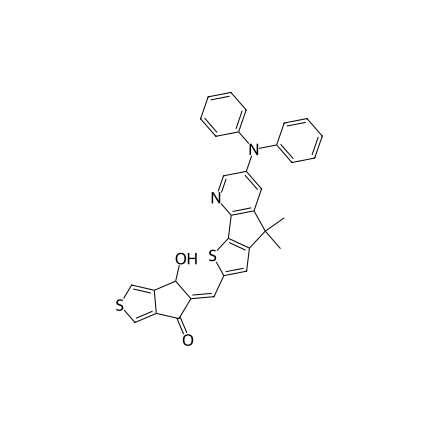 CC1(C)c2cc(N(c3ccccc3)c3ccccc3)cnc2-c2sc(/C=C3/C(=O)c4cscc4C3O)cc21